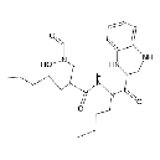 CCCCCC(CN(O)C=O)C(=O)NN(CCCC)C(=O)C1CNc2ccccc2N1